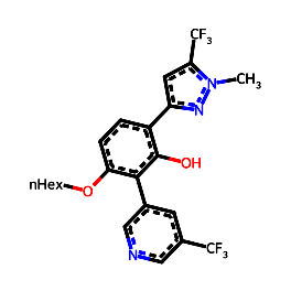 CCCCCCOc1ccc(-c2cc(C(F)(F)F)n(C)n2)c(O)c1-c1cncc(C(F)(F)F)c1